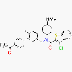 CNC1CCC(N(Cc2ccc(C)c(-c3ccc(C(=O)C(F)(F)F)cc3)c2)C(=O)c2sc3ccccc3c2Cl)CC1